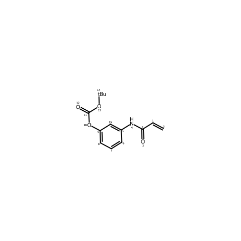 C=CC(=O)Nc1cccc(OC(=O)OC(C)(C)C)c1